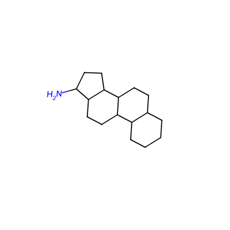 NC1CCC2C1CCC1C3CCCCC3CCC21